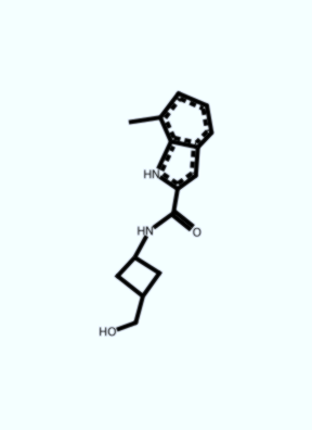 Cc1cccc2cc(C(=O)NC3CC(CO)C3)[nH]c12